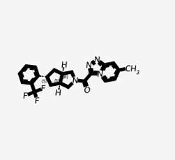 Cc1ccn2c(C(=O)N3C[C@H]4C[C@H](c5ccccc5C(F)(F)F)C[C@H]4C3)nnc2c1